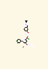 CCOc1c(C(N)=O)cc([C@@](O)(CNC(=O)c2cc(OC)c3nn(C4CC4)cc3c2)C(F)(F)F)nc1-c1cc(Br)c(F)cc1F